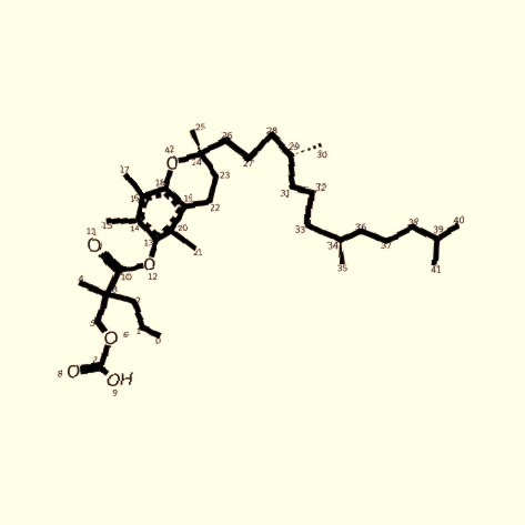 CCCC(C)(COC(=O)O)C(=O)Oc1c(C)c(C)c2c(c1C)CC[C@@](C)(CCC[C@H](C)CCC[C@H](C)CCCC(C)C)O2